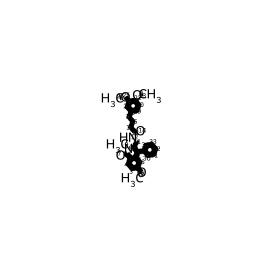 COc1ccc2c(=O)n(C)c(CNC(=O)CCCc3ccc(OC)c(OC)c3)c(-c3ccccc3)c2c1